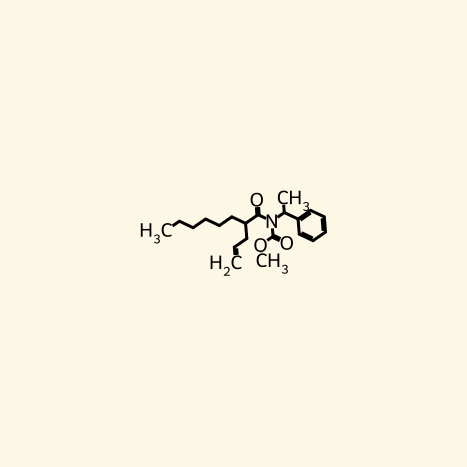 C=CCC(CCCCCC)C(=O)N(C(=O)OC)C(C)c1ccccc1